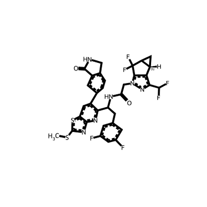 CSc1nc2nc(C(Cc3cc(F)cc(F)c3)NC(=O)Cn3nc(C(F)F)c4c3C(F)(F)C3C[C@H]43)c(-c3ccc4c(c3)C(=O)NC4)cc2s1